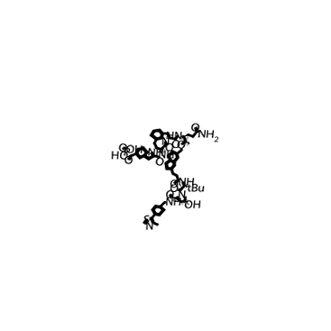 Cc1ncsc1-c1ccc(CNC(=O)[C@@H]2C[C@@H](O)CN2C(=O)[C@@H](NC(=O)CCc2ccc3ccc(CO[C@H](C)[C@H](CCC(N)=O)NC(=O)C4Cc5cccc6c5N4C(=O)[C@@H](NC(=O)c4cc5cc(C(=O)P(=O)(O)O)ccc5[nH]4)CC6)cc3c2)C(C)(C)C)cc1